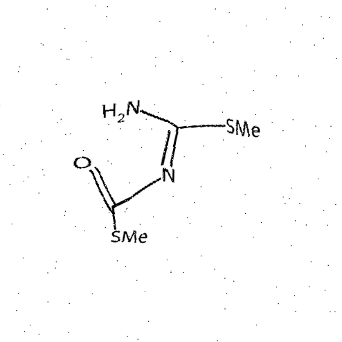 CSC(=O)N=C(N)SC